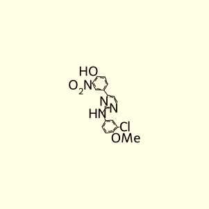 COc1ccc(Nc2nccc(-c3ccc(O)c([N+](=O)[O-])c3)n2)cc1Cl